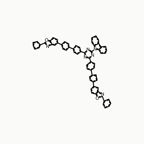 c1ccc(-c2nc3cc(-c4ccc(-c5ccc(-c6nc(-c7ccc(-c8ccc(-c9ccc%10oc(-c%11ccccc%11)nc%10c9)cc8)cc7)nc(-n7c8ccccc8c8ccccc87)n6)cc5)cc4)ccc3o2)cc1